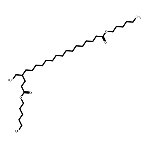 CCCCCCOC(=O)CCCCCCCCCCCCCCCC(CC)CCC(=O)OCCCCCC